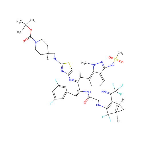 Cn1nc(NS(C)(=O)=O)c2cccc(-c3cc4sc(N5CC6(CCN(C(=O)OC(C)(C)C)CC6)C5)nc4nc3[C@H](Cc3cc(F)cc(F)c3)NC(=O)CNC3=C(C(=N)C(F)(F)F)[C@H]4C[C@H]4C3(F)F)c21